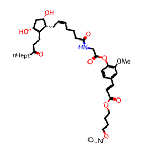 CCCCCCCC(=O)CC[C@@H]1[C@@H](C/C=C\CCCC(=O)NCC(=O)Oc2ccc(/C=C/C(=O)OCCCCO[N+](=O)[O-])cc2OC)[C@@H](O)C[C@H]1O